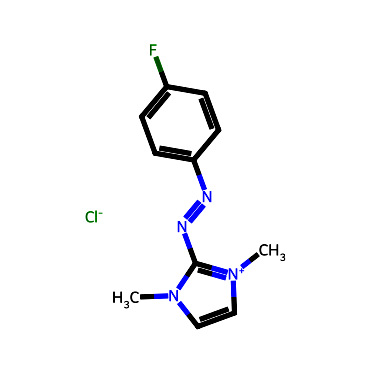 Cn1cc[n+](C)c1N=Nc1ccc(F)cc1.[Cl-]